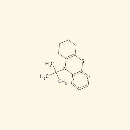 CC(C)(C)N1C2=C(CCCC2)Sc2ccccc21